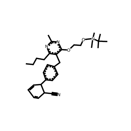 CCCCc1nc(C)nc(OCCO[Si](C)(C)C(C)(C)C)c1Cc1ccc(C2C=CC=CC2C#N)cc1